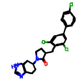 O=C1C(Cc2c(Cl)cc(-c3ccc(Cl)cc3)cc2Cl)CCN1C1CCc2nc[nH]c2C1